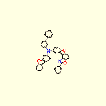 c1ccc(-c2cccc(N(c3ccc4c(c3)oc3ccccc34)c3ccc4oc5ccc6oc(-c7ccccc7)nc6c5c4c3)c2)cc1